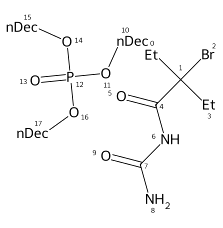 CCC(Br)(CC)C(=O)NC(N)=O.CCCCCCCCCCOP(=O)(OCCCCCCCCCC)OCCCCCCCCCC